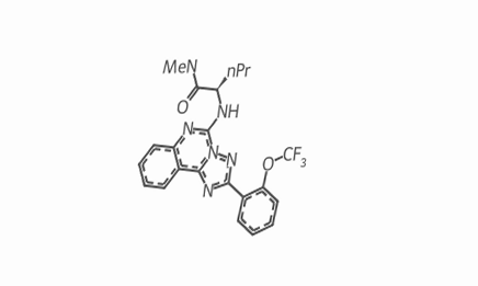 CCC[C@@H](Nc1nc2ccccc2c2nc(-c3ccccc3OC(F)(F)F)nn12)C(=O)NC